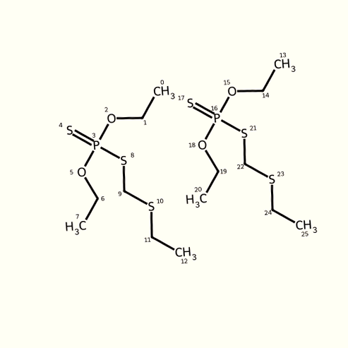 CCOP(=S)(OCC)SCSCC.CCOP(=S)(OCC)SCSCC